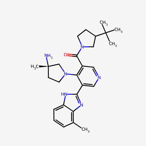 Cc1cccc2[nH]c(-c3cncc(C(=O)N4CCC(C(C)(C)C)C4)c3N3CC[C@](C)(N)C3)nc12